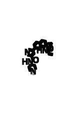 C=CC(=O)Nc1c(OC)ccc2ccc(-c3cncc(C(=O)NC4CCN(C)CC4)c3)cc12